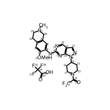 COc1cc2c(cc1Nc1ncc3cnn(C4CCN(C(=O)C(F)(F)F)CC4)c3n1)CN(C)CC2.O=C(O)C(F)(F)F